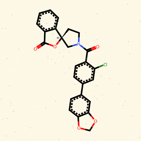 O=C1O[C@]2(CCN(C(=O)c3ccc(-c4ccc5c(c4)OCO5)cc3Cl)C2)c2ccccc21